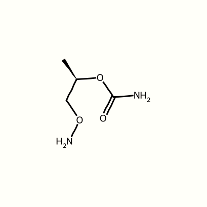 C[C@H](CON)OC(N)=O